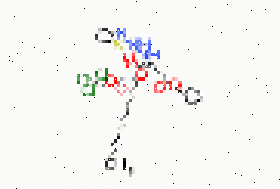 CCCCCCCCCCCCCC(CC(=O)OCC(Cl)(Cl)Cl)OC(=O)[C@H](CCCC(=O)OCc1ccccc1)NC(=O)Nc1nc2ccccc2s1